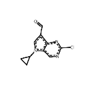 O=Cc1cn(C2CC2)c2cnc(Cl)nc12